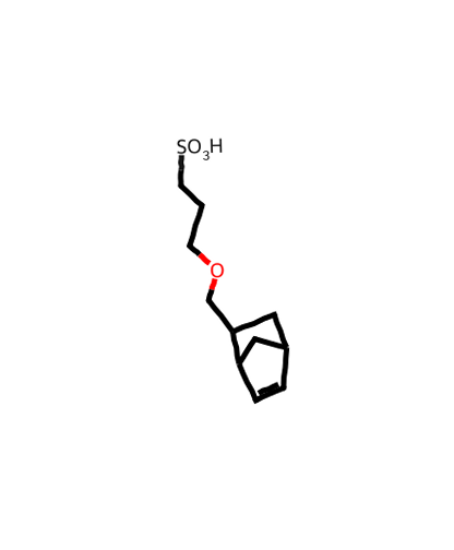 O=S(=O)(O)CCCOCC1CC2C=CC1C2